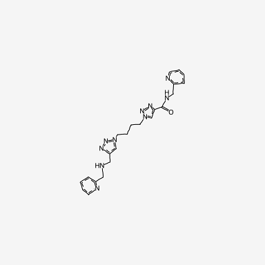 O=C(NCc1ccccn1)c1cn(CCCCn2cc(CNCc3ccccn3)nn2)nn1